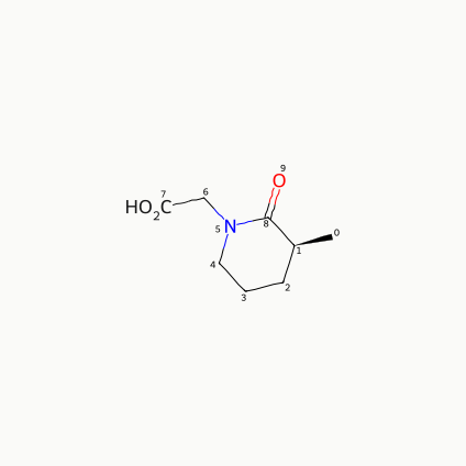 C[C@H]1CCCN(CC(=O)O)C1=O